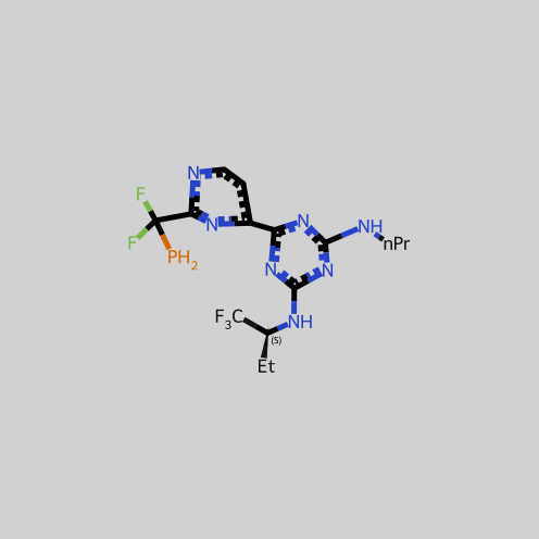 CCCNc1nc(N[C@@H](CC)C(F)(F)F)nc(-c2ccnc(C(F)(F)P)n2)n1